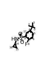 CC(C)(C)c1ccc(F)c(S(=O)(=O)NC2CC2)c1